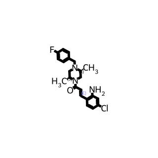 C[C@@H]1CN(C(=O)/C=C/c2ccc(Cl)cc2N)[C@@H](C)CN1Cc1ccc(F)cc1